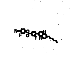 CCCCCC[C@H]1CC[C@@H]2CC(c3ccc(C(=O)Oc4ccc(C#N)c(F)c4)cc3F)CC[C@H]2C1